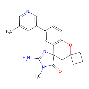 CN1C(=O)C2(CC3(CCC3)Oc3ccc(-c4cncc(C(F)(F)F)c4)cc32)N=C1N